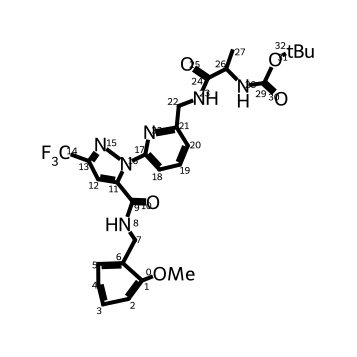 COc1ccccc1CNC(=O)c1cc(C(F)(F)F)nn1-c1cccc(CNC(=O)C(C)NC(=O)OC(C)(C)C)n1